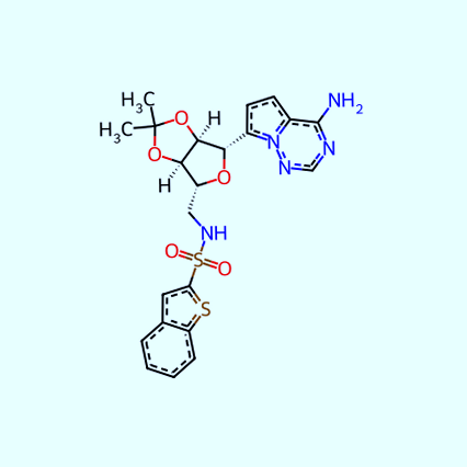 CC1(C)O[C@@H]2[C@H](O1)[C@@H](CNS(=O)(=O)c1cc3ccccc3s1)O[C@H]2c1ccc2c(N)ncnn12